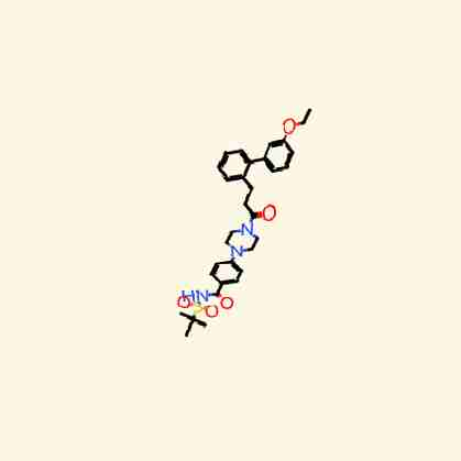 CCOc1cccc(-c2ccccc2CCC(=O)N2CCN(c3ccc(C(=O)NS(=O)(=O)C(C)(C)C)cc3)CC2)c1